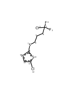 FC(F)(Cl)CCCSc1ncc(Cl)s1